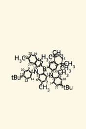 Cc1cc2c3c(c1)N(c1ccc(C(C)(C)C)cc1)c1c(sc4ccc(C)cc14)B3c1cc3c(cc1N2c1ccc(C(C)(C)C)cc1C)C(C)(C)CCC3(C)C